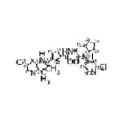 Cc1ncc(Cl)cc1N[C@@H](C)c1ccc(C(=O)N[C@H](CC2CCCC2)C(=O)Nc2ccnc(Cl)c2)s1